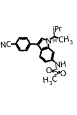 CC(C)[C@@H](C)n1cc(-c2ccc(C#N)cc2)c2ccc(NS(C)(=O)=O)cc21